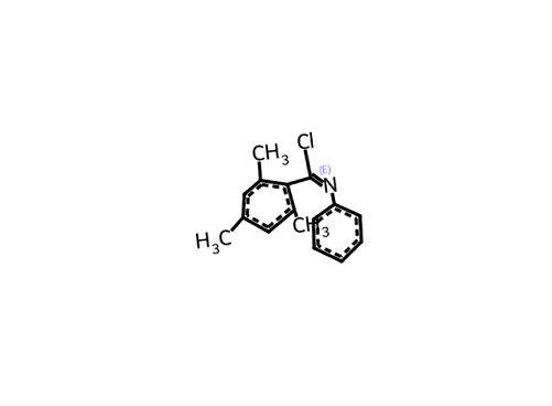 Cc1cc(C)c(/C(Cl)=N\c2ccccc2)c(C)c1